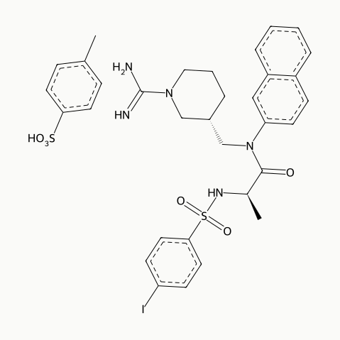 C[C@@H](NS(=O)(=O)c1ccc(I)cc1)C(=O)N(C[C@H]1CCCN(C(=N)N)C1)c1ccc2ccccc2c1.Cc1ccc(S(=O)(=O)O)cc1